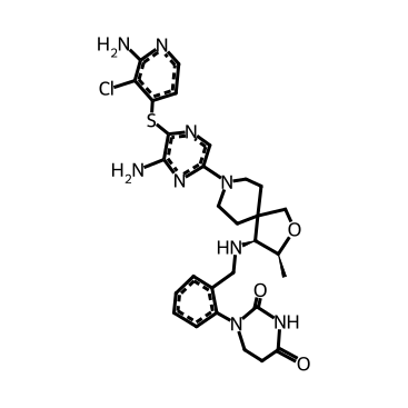 C[C@@H]1OCC2(CCN(c3cnc(Sc4ccnc(N)c4Cl)c(N)n3)CC2)[C@@H]1NCc1ccccc1N1CCC(=O)NC1=O